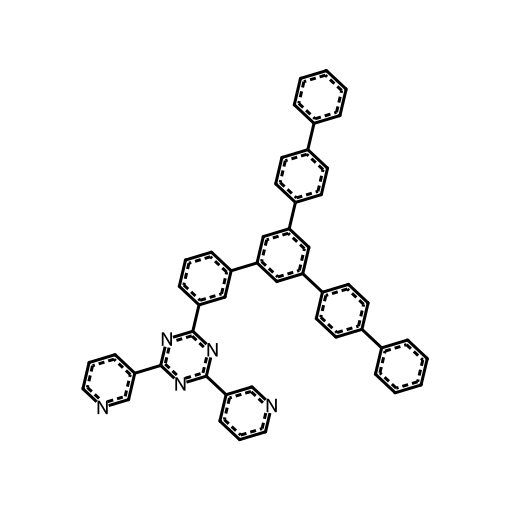 c1ccc(-c2ccc(-c3cc(-c4ccc(-c5ccccc5)cc4)cc(-c4cccc(-c5nc(-c6cccnc6)nc(-c6cccnc6)n5)c4)c3)cc2)cc1